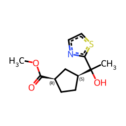 COC(=O)[C@@H]1CC[C@H](C(C)(O)c2nccs2)C1